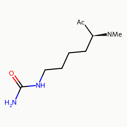 CN[C@@H](CCCCNC(N)=O)C(C)=O